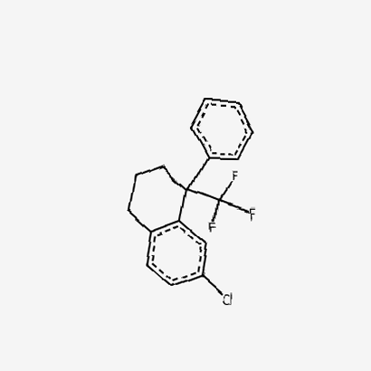 FC(F)(F)C1(c2ccccc2)CCCc2ccc(Cl)cc21